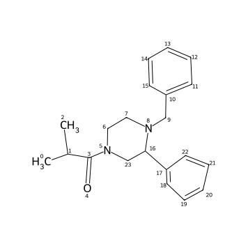 CC(C)C(=O)N1CCN(Cc2ccccc2)C(c2ccccc2)C1